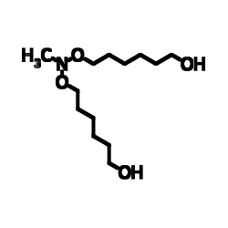 CN(OCCCCCCO)OCCCCCCO